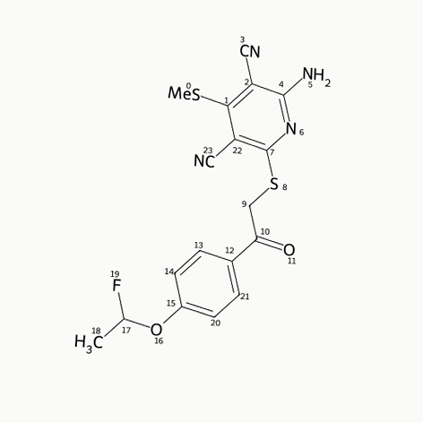 CSc1c(C#N)c(N)nc(SCC(=O)c2ccc(OC(C)F)cc2)c1C#N